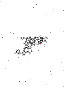 C=C(C)[C@@H]1CC[C@]2(C(=O)N3CCCC3c3ncc(-c4cccs4)[nH]3)CC[C@]3(C)[C@H](CC[C@@H]4[C@@]5(C)CC[C@H](OC(C)=O)C(C)(C)[C@@H]5CC[C@]43C)[C@@H]12